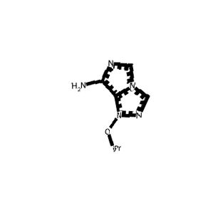 CC(C)On1ncn2cnc(N)c12